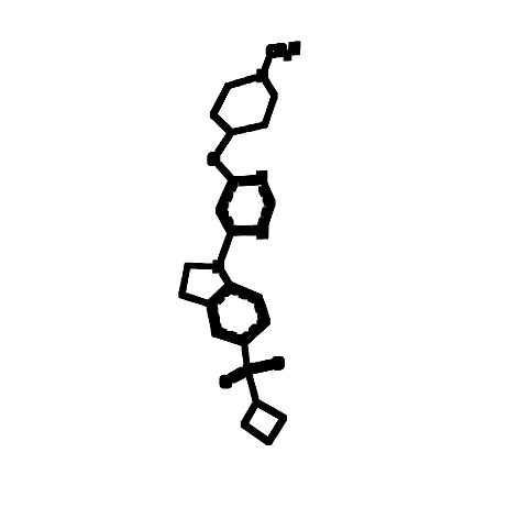 O=C(O)N1CCC(Oc2cc(N3CCc4cc(S(=O)(=O)C5CCC5)ccc43)ncn2)CC1